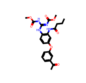 CCCC(=O)Nc1cc(Oc2cccc(C(C)=O)c2)ccc1NC(=NC(=O)OC)NC(=O)OC